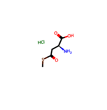 CSC(=O)C[C@H](N)C(=O)O.Cl